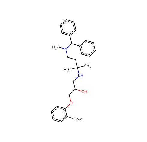 COc1ccccc1OCC(O)CNC(C)(C)CCN(C)C(c1ccccc1)c1ccccc1